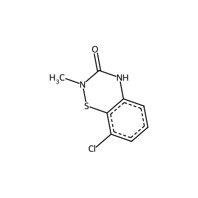 CN1Sc2c(Cl)cccc2NC1=O